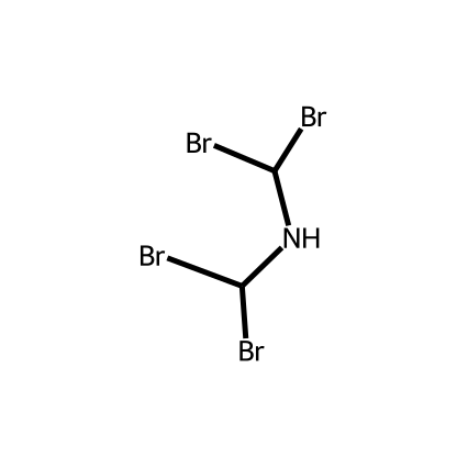 BrC(Br)NC(Br)Br